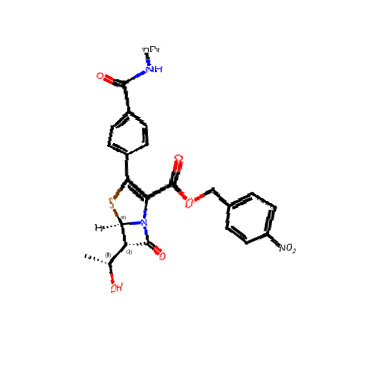 CCCNC(=O)c1ccc(C2=C(C(=O)OCc3ccc([N+](=O)[O-])cc3)N3C(=O)[C@H]([C@@H](C)O)[C@H]3S2)cc1